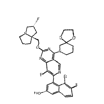 CCc1c(F)ccc2cc(O)cc(-c3ncc4c(N5CCCC6(C5)OCCO6)nc(OC[C@@]56CCCN5C[C@H](F)C6)nc4c3F)c12